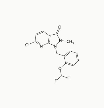 Cn1c(=O)c2ccc(Cl)nc2n1Cc1ccccc1OC(F)F